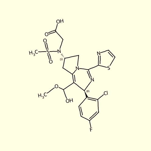 COC(O)C1=C2C[C@H](N(CC(=O)O)S(C)(=O)=O)CN2C(c2nccs2)=N[C@H]1c1ccc(F)cc1Cl